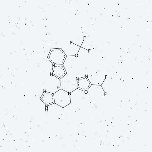 FC(F)c1nnc(N2CCc3[nH]cnc3[C@@H]2c2cc3c(OC(F)(F)F)cccn3n2)o1